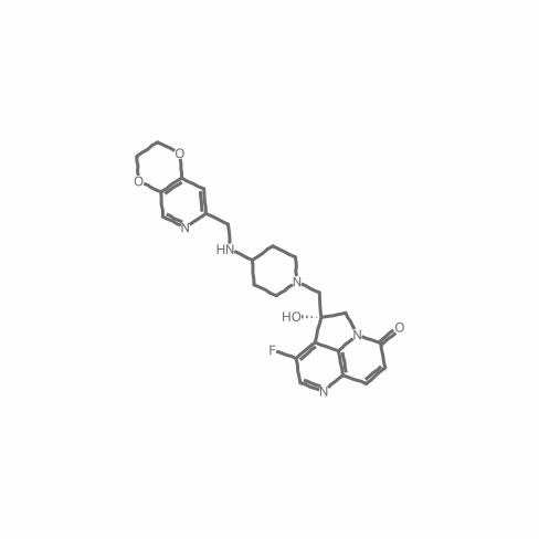 O=c1ccc2ncc(F)c3c2n1C[C@]3(O)CN1CCC(NCc2cc3c(cn2)OCCO3)CC1